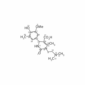 COc1cc(C2NC(=O)N(CCN(C)C)C(C)=C2C(=O)O)cc(C)c1O